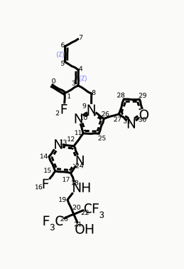 C=C(F)/C(=C\C=C/C)Cn1nc(-c2ncc(F)c(NCC(O)(C(F)(F)F)C(F)(F)F)n2)cc1-c1ccon1